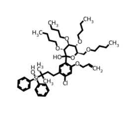 C=CCOc1cc(Cl)c(CCC(C)(C)[Si](O)(c2ccccc2)c2ccccc2)cc1C1(O)O[C@H](COCCCC)[C@@H](OCCCC)[C@H](OCCCC)[C@H]1OCCCC